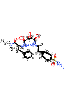 CN(C)C(=O)[C@H](Cc1ccccc1)NC(=O)[C@H]1O[C@@H]1C(=O)NCCc1ccc(S(N)(=O)=O)cc1